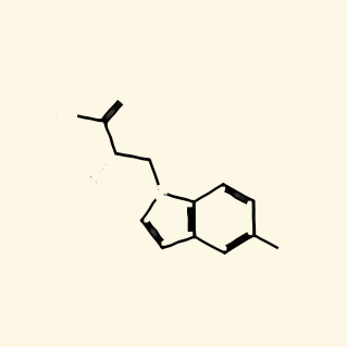 N[C@@H](Cn1ccc2cc(Cl)ccc21)C(=O)O